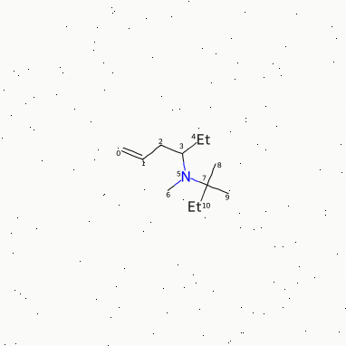 C=CCC(CC)N(C)C(C)(C)CC